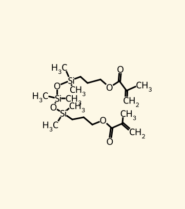 C=C(C)C(=O)OCCC[Si](C)(C)O[Si](C)(C)O[Si](C)(C)CCCOC(=O)C(=C)C